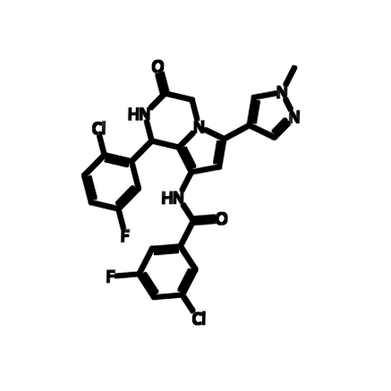 Cn1cc(-c2cc(NC(=O)c3cc(F)cc(Cl)c3)c3n2CC(=O)NC3c2cc(F)ccc2Cl)cn1